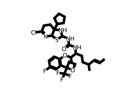 C/C=C/C(C)CCC(NC(=O)NC1NC2(C3CCCC3)CCC(Cl)=NC2S1)C(C)Oc1ccc(F)cc1C1(C(F)(F)F)CCO1